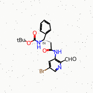 CC(C)(C)OC(=O)N[C@@H](CC(=O)Nc1cc(Br)cnc1C=O)c1ccccc1